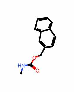 CNC(=O)OCc1ccc2ccccc2c1